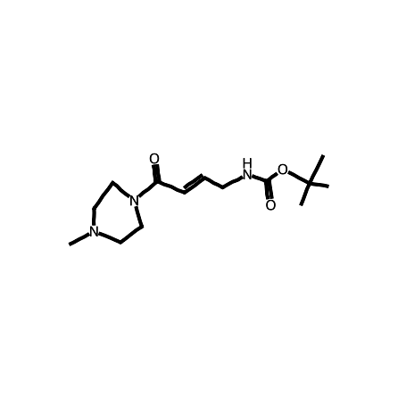 CN1CCN(C(=O)/C=C/CNC(=O)OC(C)(C)C)CC1